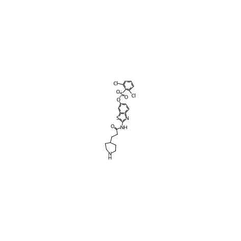 O=C(CCC1CCNCC1)Nc1nc2ccc(OS(=O)(=O)c3c(Cl)cccc3Cl)cc2s1